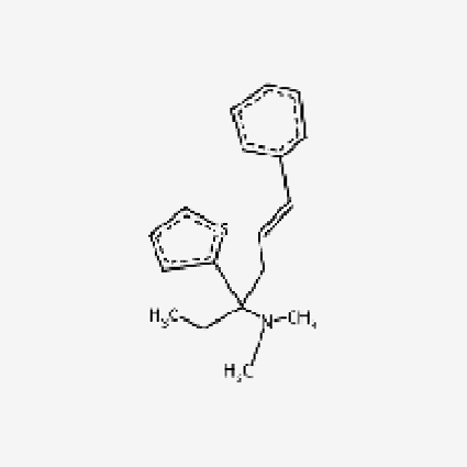 CCC(CC=Cc1ccccc1)(c1cccs1)N(C)C